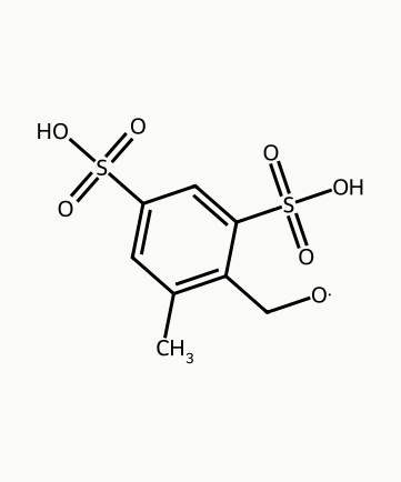 Cc1cc(S(=O)(=O)O)cc(S(=O)(=O)O)c1C[O]